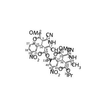 COC(=O)C1=C(C#N)NC(C)=C(C(=O)OC(C)C)C1c1cccc([N+](=O)[O-])c1.COC(=O)C1=C(C#N)NC(C)=C(C(=O)OC(C)C)C1c1cccc([N+](=O)[O-])c1